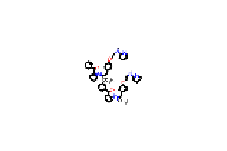 CN(CCOc1ccc(CC(Nc2ccccc2C(=O)c2ccccc2)C(=O)O)cc1)c1ccccn1.CN(CCOc1ccc(CC(Nc2ccccc2C(=O)c2ccccc2)C(=O)O)cc1)c1ccccn1